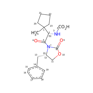 CC1([C@H](NC(=O)O)C(=O)N2C(=O)OC[C@@H]2Cc2ccccc2)CCCC1